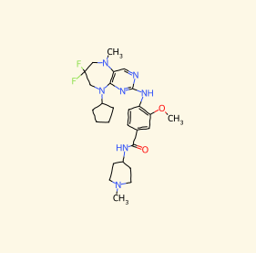 COc1cc(C(=O)NC2CCN(C)CC2)ccc1Nc1ncc2c(n1)N(C1CCCC1)CC(F)(F)CN2C